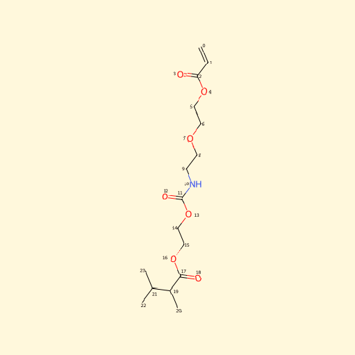 C=CC(=O)OCCOCCNC(=O)OCCOC(=O)C(C)C(C)C